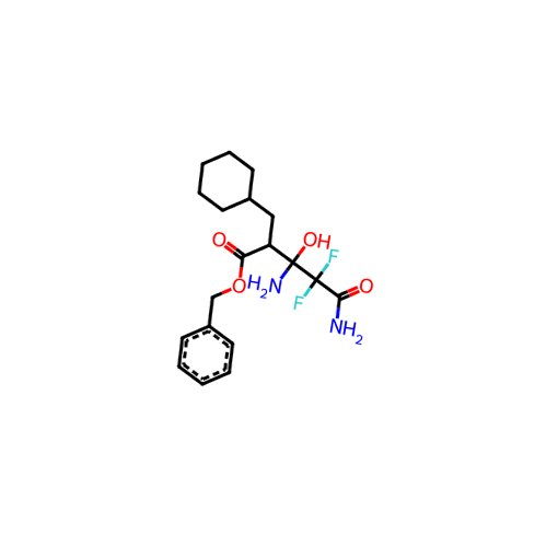 NC(=O)C(F)(F)C(N)(O)C(CC1CCCCC1)C(=O)OCc1ccccc1